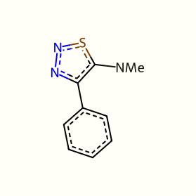 CNc1snnc1-c1ccccc1